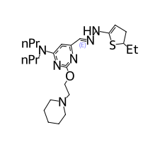 CCCN(CCC)c1cc(/C=N/NC2=CCC(CC)S2)nc(OCCN2CCCCC2)n1